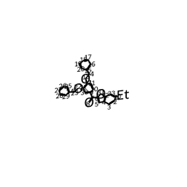 CCc1ccc2cc(C(=O)c3ccc(OCc4ccccc4)c(OCc4ccccc4)c3)oc2c1